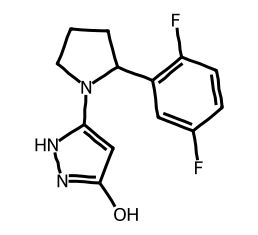 Oc1cc(N2CCCC2c2cc(F)ccc2F)[nH]n1